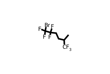 CC(CCC(F)(F)C(F)(F)Br)C(F)(F)F